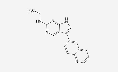 FC(F)(F)CNc1ncc2c(-c3ccc4ncccc4c3)c[nH]c2n1